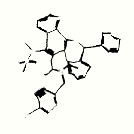 CC1c2c(c(OC(c3ccccc3)c3ccccc3)c3ncccc3c2N(C)S(C)(=O)=O)C(=O)N1Cc1ccc(F)cc1